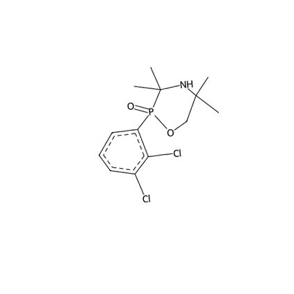 CC1(C)COP(=O)(c2cccc(Cl)c2Cl)C(C)(C)N1